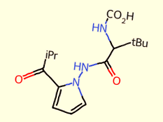 CC(C)C(=O)c1cccn1NC(=O)C(NC(=O)O)C(C)(C)C